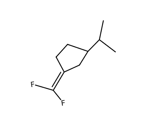 CC(C)C1CCC(=C(F)F)C1